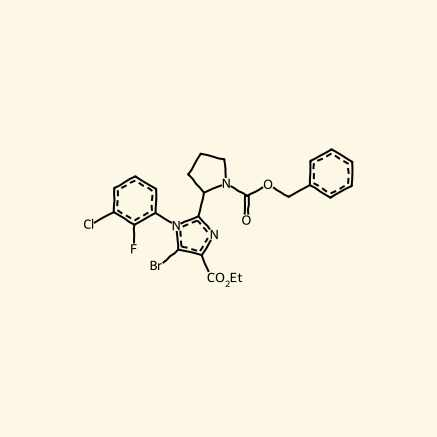 CCOC(=O)c1nc(C2CCCN2C(=O)OCc2ccccc2)n(-c2cccc(Cl)c2F)c1Br